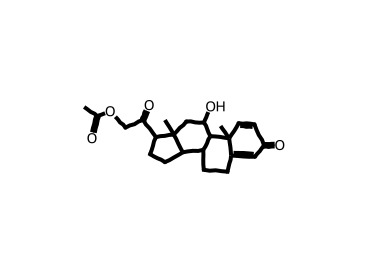 CC(=O)OCC(=O)C1CCC2C3CCC4=CC(=O)C=CC4(C)C3C(O)CC12C